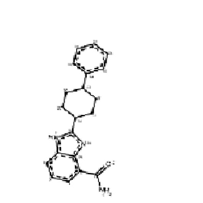 NC(=O)c1cccc2[nH]c(C3CCC(c4ccccc4)CC3)nc12